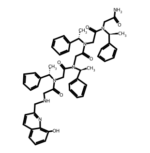 C[C@@H](c1ccccc1)N(CC(N)=O)C(=O)CN(C(=O)CN(C(=O)CN(C(=O)CNCc1ccc2cccc(O)c2n1)[C@@H](C)c1ccccc1)[C@@H](C)c1ccccc1)[C@@H](C)c1ccccc1